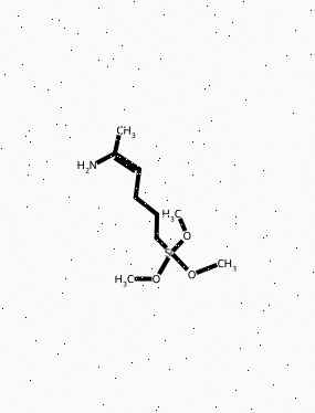 CO[Si](CCCC=C(C)N)(OC)OC